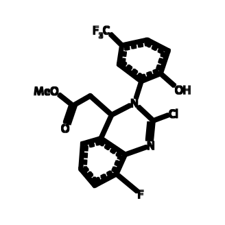 COC(=O)CC1c2cccc(F)c2N=C(Cl)N1c1cc(C(F)(F)F)ccc1O